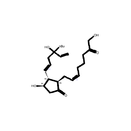 C=CC(O)(C/C=C/[C@H]1[C@H](O)CC(=O)[C@@H]1C/C=C\CCCC(=O)CO)CCCC